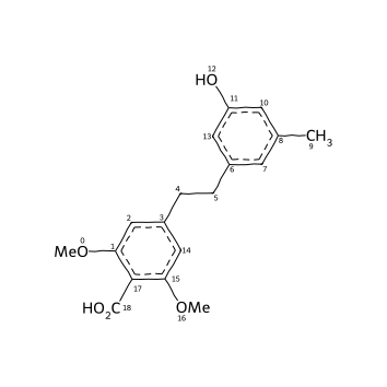 COc1cc(CCc2cc(C)cc(O)c2)cc(OC)c1C(=O)O